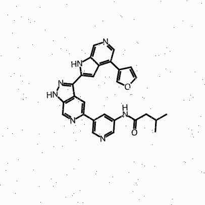 CC(C)CC(=O)Nc1cncc(-c2cc3c(-c4cc5c(-c6ccoc6)cncc5[nH]4)n[nH]c3cn2)c1